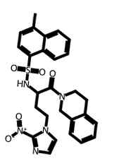 Cc1ccc(S(=O)(=O)NC(CCn2ccnc2[N+](=O)[O-])C(=O)N2CCc3ccccc3C2)c2ccccc12